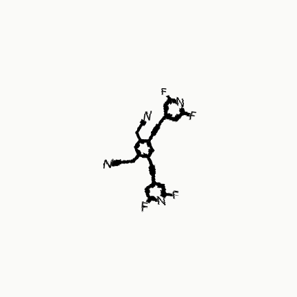 N#CCc1cc(CC#N)c(C#Cc2cc(F)nc(F)c2)cc1C#Cc1cc(F)nc(F)c1